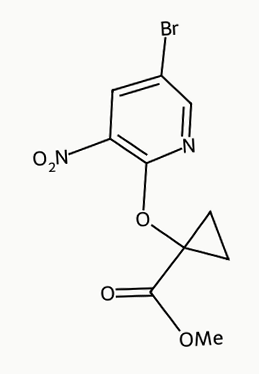 COC(=O)C1(Oc2ncc(Br)cc2[N+](=O)[O-])CC1